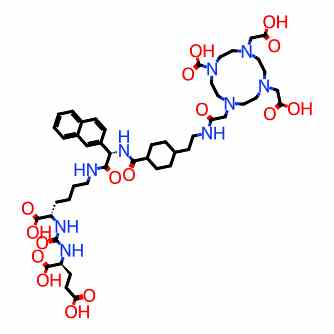 O=C(O)CC[C@H](NC(=O)N[C@@H](CCCCNC(=O)[C@@H](NC(=O)C1CCC(CCNC(=O)CN2CCN(CC(=O)O)CCN(CC(=O)O)CCN(C(=O)O)CC2)CC1)c1ccc2ccccc2c1)C(=O)O)C(=O)O